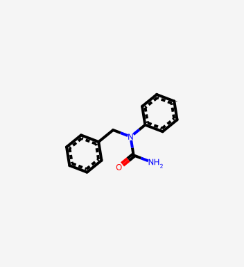 NC(=O)N(Cc1ccccc1)c1cc[c]cc1